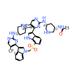 CCC(=O)N[C@@H]1CNC[C@H](Nc2ncc(C(F)(F)F)c(-c3c[nH]c4c(S(=O)(=O)Cn5cc(-c6nc(N[C@H]7CC[C@H](C(C)C)NC7)ncc6C(F)(F)F)c6ccccc65)cccc34)n2)C1